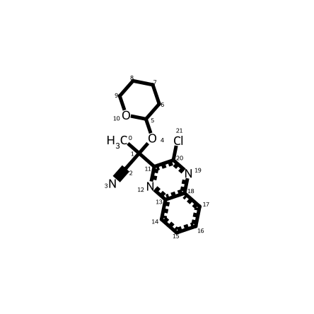 CC(C#N)(OC1CCCCO1)c1nc2ccccc2nc1Cl